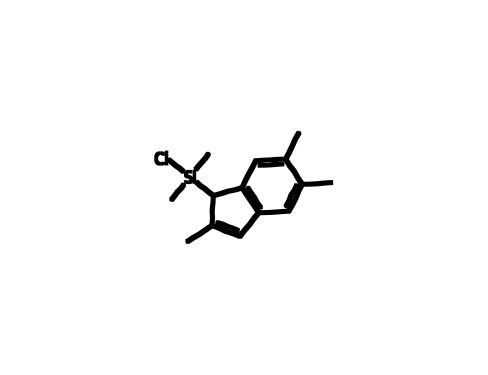 CC1=Cc2cc(C)c(C)cc2C1[Si](C)(C)Cl